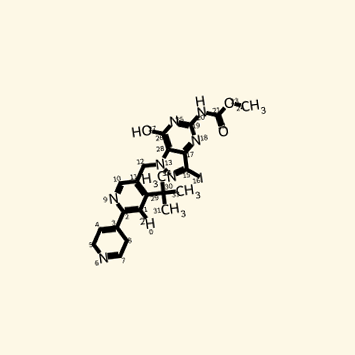 [2H]c1c(C2=CCN=CC2)ncc(Cn2nc(I)c3nc(NC(=O)OC)nc(O)c32)c1C(C)(C)C